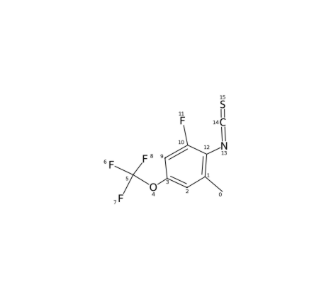 Cc1cc(OC(F)(F)F)cc(F)c1N=C=S